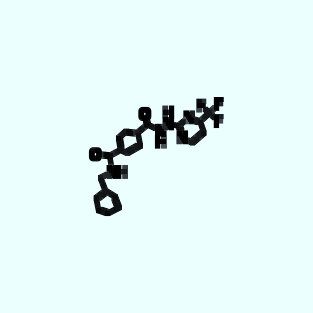 O=C(NCc1ccccc1)c1ccc(C(=O)NNc2nccc(C(F)(F)F)n2)cc1